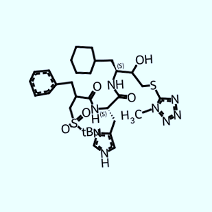 Cn1nnnc1SCC(O)[C@H](CC1CCCCC1)NC(=O)[C@H](Cc1c[nH]cn1)NC(=O)C(Cc1ccccc1)CS(=O)(=O)C(C)(C)C